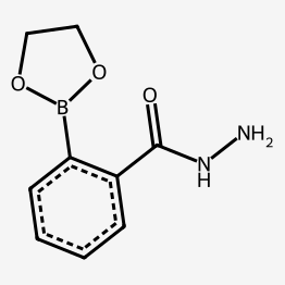 NNC(=O)c1ccccc1B1OCCO1